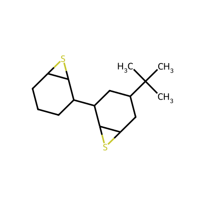 CC(C)(C)C1CC2SC2C(C2CCCC3SC32)C1